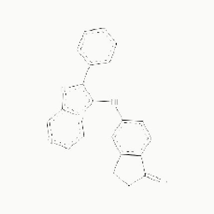 O=C1CCc2cc(Nc3c(-c4ccccc4)nc4cnccn34)ccc21